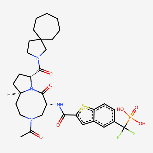 CC(=O)N1CC[C@H]2CC[C@H](C(=O)N3CCC4(CCCCCC4)C3)N2C(=O)[C@H](NC(=O)c2cc3cc(C(F)(F)P(=O)(O)O)ccc3s2)C1